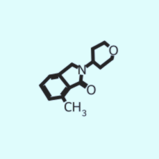 Cc1cccc2c1C(=O)N(C1CCOCC1)C2